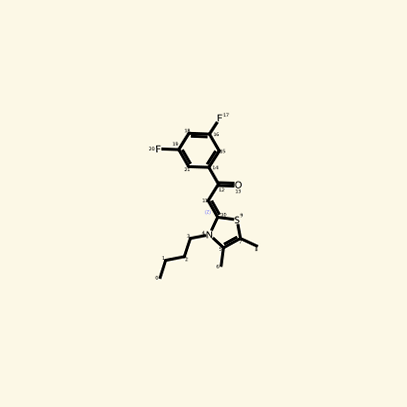 CCCCN1C(C)=C(C)S/C1=C\C(=O)c1cc(F)cc(F)c1